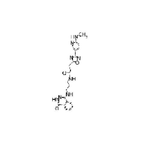 CNc1ccc(-c2noc(CCC(=O)NCCCNc3n[nH]c(=O)c4ccccc34)n2)cn1